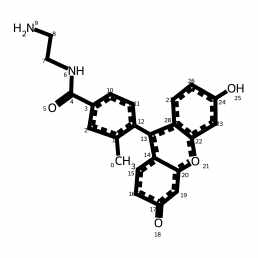 Cc1cc(C(=O)NCCN)ccc1-c1c2ccc(=O)cc-2oc2cc(O)ccc12